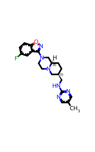 Cc1cnc(NC[C@@H]2CC[C@@H]3CN(c4noc5ccc(F)cc45)CCN3C2)nc1